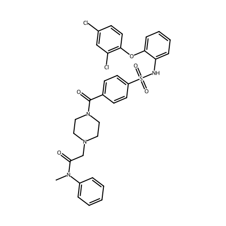 CN(C(=O)CN1CCN(C(=O)c2ccc(S(=O)(=O)Nc3ccccc3Oc3ccc(Cl)cc3Cl)cc2)CC1)c1ccccc1